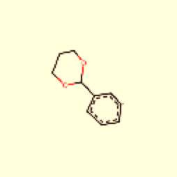 [c]1cccc(C2OCCCO2)c1